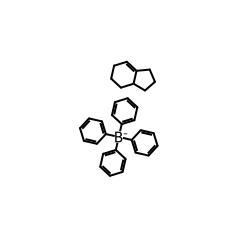 C1=C2CCCC2CCC1.c1ccc([B-](c2ccccc2)(c2ccccc2)c2ccccc2)cc1